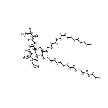 CCCCCCCC/C=C\CCCCCCCC(=O)N(CCCCCCCCCCCCCCCCCC)[C@@H]1O[C@H](CO)[C@@H](O)[C@H](O)[C@H]1NC(=O)CNC(=O)[C@H](C)N